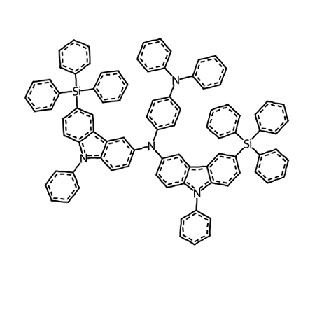 c1ccc(N(c2ccccc2)c2ccc(N(c3ccc4c(c3)c3cc([Si](c5ccccc5)(c5ccccc5)c5ccccc5)ccc3n4-c3ccccc3)c3ccc4c(c3)c3cc([Si](c5ccccc5)(c5ccccc5)c5ccccc5)ccc3n4-c3ccccc3)cc2)cc1